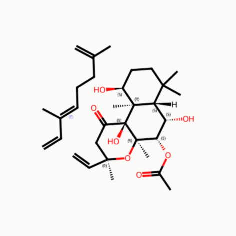 C=C/C(C)=C/CCC(=C)C.C=C[C@@]1(C)CC(=O)[C@]2(O)[C@@]3(C)[C@@H](O)CCC(C)(C)[C@@H]3[C@H](O)[C@H](OC(C)=O)[C@@]2(C)O1